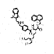 CC(C)CN(CCO)CCC[C@H](NC(=O)c1ccc(CNCc2nc3ccccc3n2C)cc1)C(=O)N[C@@H](C)c1cccc2ccccc12